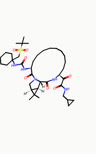 CC1(C)[C@@H]2[C@H]3C(=O)N[C@H](C(=O)C(=O)NCC4CC4)CCCCCCCCC[C@H](NC(=O)NC4(CS(=O)(=O)C(C)(C)C)CCCCC4)C(=O)N3C[C@@H]21